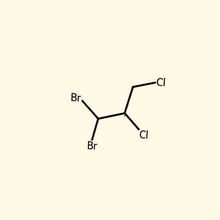 ClC[C](Cl)C(Br)Br